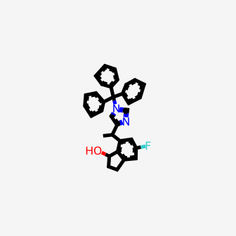 CC(c1cn(C(c2ccccc2)(c2ccccc2)c2ccccc2)cn1)c1cc(F)cc2c1C(O)CC2